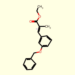 CCOC(=O)/C(C)=C/c1cccc(OCc2ccccc2)c1